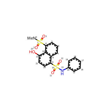 CNS(=O)(=O)c1cccc2c(S(=O)(=O)Nc3ccccc3)ccc(O)c12